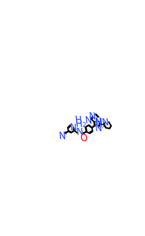 N#Cc1ccnc(CNC(=O)c2ccc(-c3nc([C@@H]4CCCCN4)n4ccnc(N)c34)cc2)c1